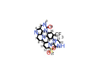 CN1Cc2cnc3ccc(-c4ccc(S(C)(=O)=O)nc4)nc3c2N(c2ccc(N3CCNCC3)c(C(F)(F)F)c2)C1=O